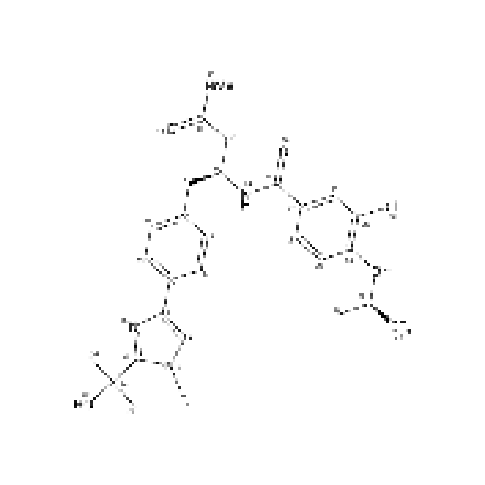 CCn1cc(-c2ccc(C[C@@H](CC(=O)NC)NC(=O)c3ccc(O[C@H](C)C(F)(F)F)c(Cl)c3)cc2)nc1C(C)(C)O